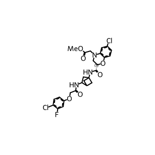 COC(=O)CN1C[C@@H](C(=O)NC23CC(C2)C(NC(=O)COc2ccc(Cl)c(F)c2)C3)Oc2ccc(Cl)cc21